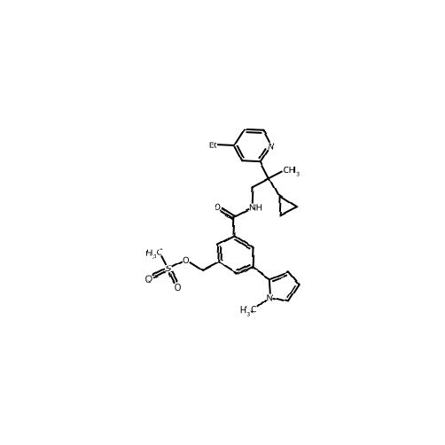 CCc1ccnc(C(C)(CNC(=O)c2cc(COS(C)(=O)=O)cc(-c3cccn3C)c2)C2CC2)c1